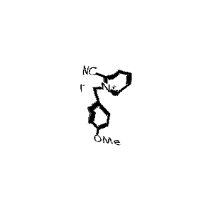 COc1ccc(C[n+]2ccccc2C#N)cc1.[I-]